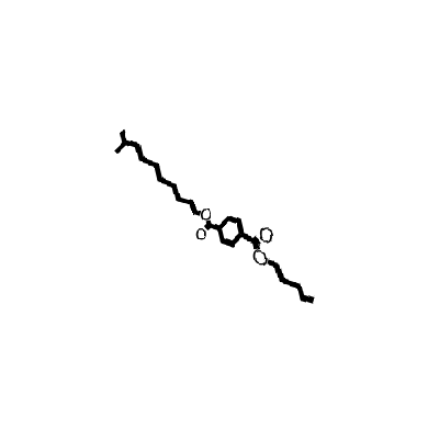 CCCCCOC(=O)C1CCC(C(=O)OCCCCCCCCC(C)C)CC1